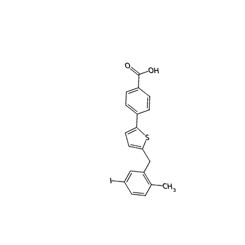 Cc1ccc(I)cc1Cc1ccc(-c2ccc(C(=O)O)cc2)s1